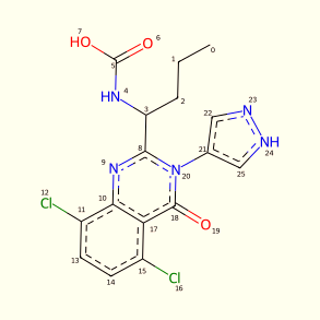 CCCC(NC(=O)O)c1nc2c(Cl)ccc(Cl)c2c(=O)n1-c1cn[nH]c1